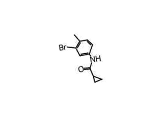 Cc1ccc(NC(=O)C2CC2)cc1Br